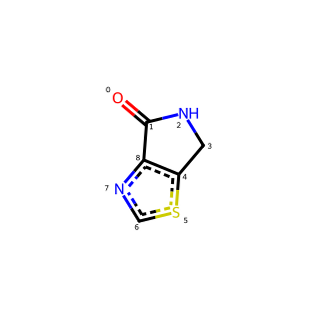 O=C1NCc2scnc21